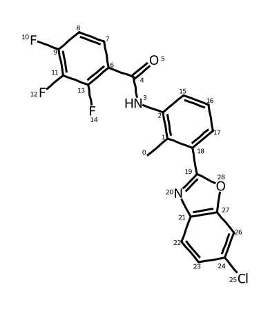 Cc1c(NC(=O)c2ccc(F)c(F)c2F)cccc1-c1nc2ccc(Cl)cc2o1